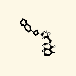 Cc1ccnc2ncn(Cc3nc([C@H]4C[C@H](c5ccc6ccccc6c5)C4)no3)c(=O)c12